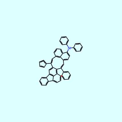 C1=CC=CC=1c1cc2cccc3c(N(c4ccccc4)c4ccccc4)ccc(cc(-c4ccccc4)c4c1cc1c5ccccc5c5cccc4c51)c23